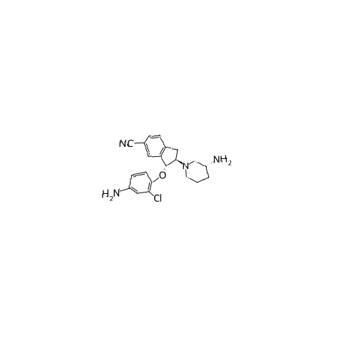 N#Cc1ccc2c(c1)[C@@H](Oc1ccc(N)cc1Cl)[C@H](N1CCC[C@@H](N)C1)C2